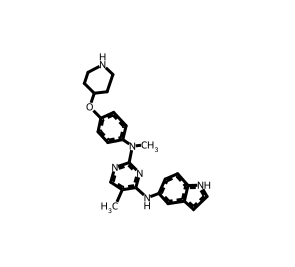 Cc1cnc(N(C)c2ccc(OC3CCNCC3)cc2)nc1Nc1ccc2[nH]ccc2c1